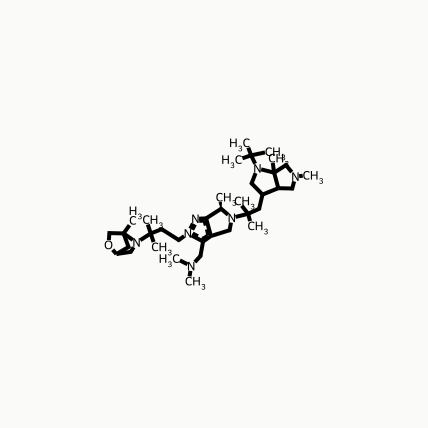 C[C@@H]1c2nn(CCC(C)(C)N3CC4CC3(C)CO4)c(CN(C)C)c2CN1C(C)(C)CC1CN(C(C)(C)C)C2(C)CN(C)CC12